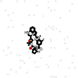 Cn1c(-c2cc3cccc4c3n2C(C2CCC2)CN4)nc2cc(C(=O)N3C[C@H]4CC[C@@H]3[C@@H]4NC(=O)OC(C)(C)C)cc(F)c21